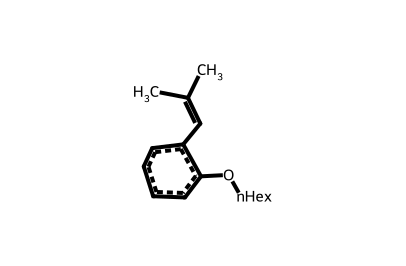 CCCCCCOc1ccccc1C=C(C)C